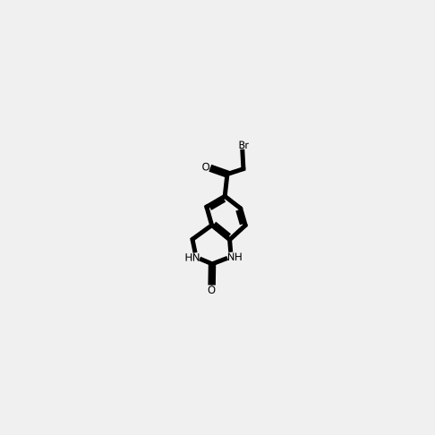 O=C1NCc2cc(C(=O)CBr)ccc2N1